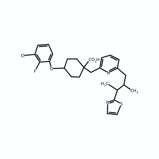 CC(Cc1cccc(CC2(C(=O)O)CCC(Oc3cccc(Cl)c3F)CC2)n1)C(C)c1nccs1